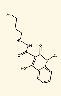 CCCCCCCCCCCCCNNC(=O)c1c(O)c2ccccc2n(CC)c1=O